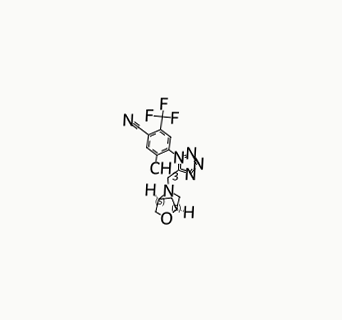 Cc1cc(C#N)c(C(F)(F)F)cc1-n1nnnc1CN1C[C@@H]2C[C@H]1CO2